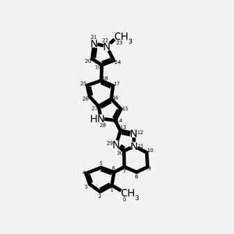 Cc1ccccc1C1CCCn2nc(-c3cc4cc(-c5cnn(C)c5)ccc4[nH]3)nc21